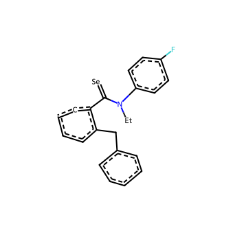 CCN(C(=[Se])c1ccccc1Cc1ccccc1)c1ccc(F)cc1